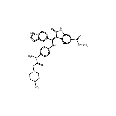 COC(=O)c1ccc2c(c1)NC(=O)C2=C(Nc1ccc(N(C)C(=O)CN2CCN(C)CC2)cc1)c1ccc2[nH]ccc2c1